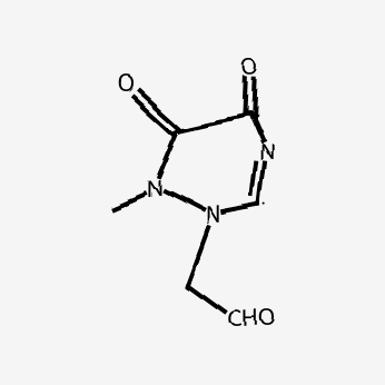 Cn1c(=O)c(=O)n[c]n1CC=O